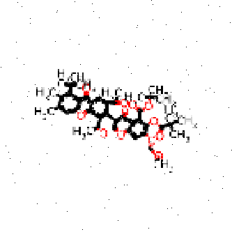 COCOc1cc2occ(-c3c(C(C)=O)cc4c(=O)c5c(C(C)(C)C)c(C)c(C)cc5oc4c3C(C)=O)c(=O)c2c(C(=O)OC(C)(C)C)c1OC(=O)C(C)(C)C